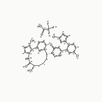 C[C@@H]1CCC[C@@H](n2cnc(-c3cc(Cl)ccc3-n3cc(Cl)nn3)cc2=O)c2cccc(n2)-c2c(cnn2C)NC1=O.O=C(O)C(F)(F)F